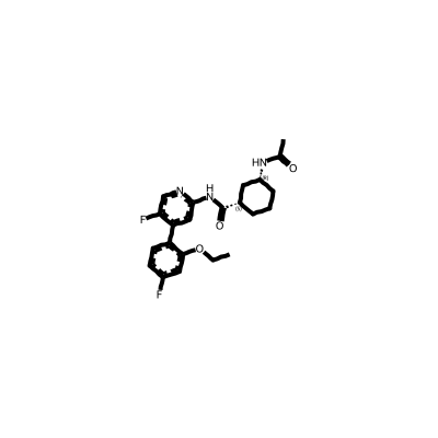 CCOc1cc(F)ccc1-c1cc(NC(=O)[C@H]2CCC[C@@H](NC(C)=O)C2)ncc1F